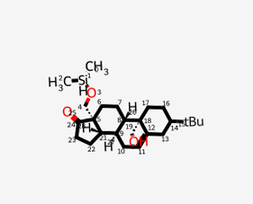 C[SiH](C)OC[C@]12CC[C@H]3[C@@H](CC=C4CC(C(C)(C)C)CC[C@@]43CO)[C@@H]1CCC2=O